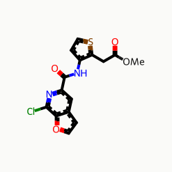 COC(=O)Cc1sccc1NC(=O)c1cc2ccoc2c(Cl)n1